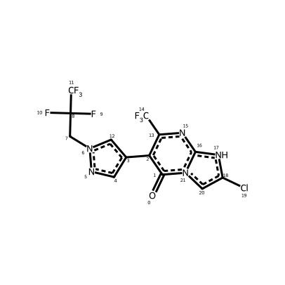 O=c1c(-c2cnn(CC(F)(F)C(F)(F)F)c2)c(C(F)(F)F)nc2[nH]c(Cl)cn12